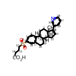 C[C@]12CC[C@@H]3c4ccc(S(=O)(=O)CCCC(=O)O)cc4CC[C@H]3[C@@H]1CC=C2c1cccnc1